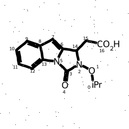 CC(C)ON1C(=O)n2c(cc3ccccc32)C1CC(=O)O